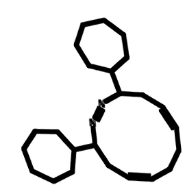 C1=CCC(C2CCCCCC2)N=NC(C2CCCCCC2)CC=CCC1